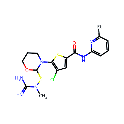 CCc1cccc(NC(=O)c2cc(Cl)c(N3CCCOC3SN(C)C(=N)N)s2)n1